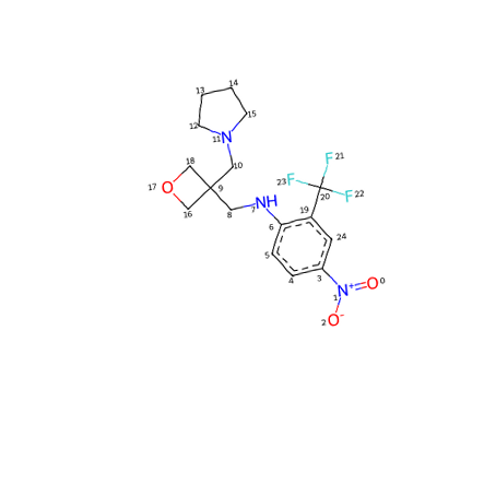 O=[N+]([O-])c1ccc(NCC2(CN3CCCC3)COC2)c(C(F)(F)F)c1